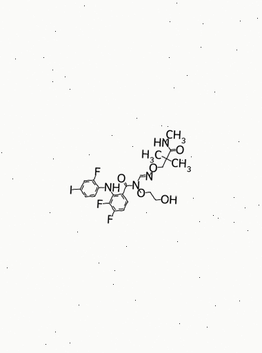 CNC(=O)C(C)(C)CON=CN(OCCO)C(=O)c1ccc(F)c(F)c1Nc1ccc(I)cc1F